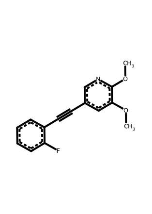 COc1cc(C#Cc2ccccc2F)cnc1OC